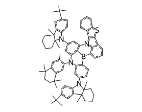 Cc1cc2c(cc1N1c3cc(N4c5ccc(C(C)(C)C)cc5C5(C)CCCCC45C)ccc3B3c4c1cc(N1c5ccc(C(C)(C)C)cc5C5(C)CCCCC15C)cc4-n1c4c3cccc4c3sc4ccccc4c31)C(C)(C)CCC2(C)C